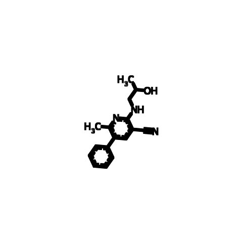 Cc1nc(NCC(C)O)c(C#N)cc1-c1ccccc1